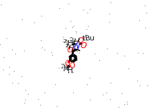 [2H]C1([2H])Oc2ccc(C(=O)[C@H](C)N(C(=O)OC(C)(C)C)C([2H])([2H])[2H])cc2O1